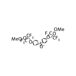 COCOC(COc1ccc([S+]([O-])c2ccc(OCC(OCOC)(C(F)(F)F)C(F)(F)F)cc2)cc1)(C(F)(F)F)C(F)(F)F